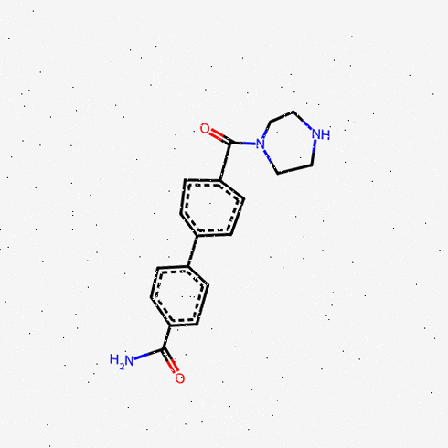 NC(=O)c1ccc(-c2ccc(C(=O)N3CCNCC3)cc2)cc1